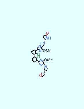 COc1nc(-c2cccc(-c3cccc(-c4cnc(CN5CCC(C6CCOC6)C5)c(OC)n4)c3Cl)c2Cl)cnc1CNCC1CCC(=O)N1